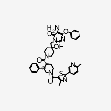 Cc1ccc(-c2nc(C)c(C(=O)N3CC[C@@H](C(=O)N4CCC(O)(Cn5cnc(Oc6ccccc6)c(N)c5=O)CC4)[C@H](c4ccccc4)C3)s2)cn1